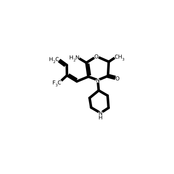 C=C/C(=C\C1=C(N)OC(C)C(=O)N1C1CCNCC1)C(F)(F)F